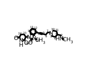 CNCC1CCN(CCC#Cc2cccc3c2n(C)c(=O)n3C2CCC(=O)NC2=O)CC1